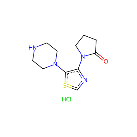 Cl.O=C1CCCN1c1ncsc1N1CCNCC1